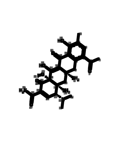 B[C@@]12Cc3c(C(C)=O)cc(C)c(O)c3C(=O)C1=C(O)[C@]1(OI)C(=O)C(C(N)=O)=C[C@@H](N(C)C)[C@]1(B)C2